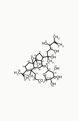 C=C(C)C(O)C(O)CC(C)(O)C1CCC2(C)C1C(O[C@@H]1OC[C@H](O)[C@H](O)[C@H]1O)CC1C(C)(CCC(=O)O)C(C(=C)C)CCC12C